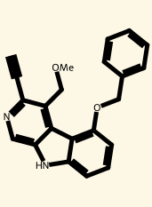 C#Cc1ncc2[nH]c3cccc(OCc4ccccc4)c3c2c1COC